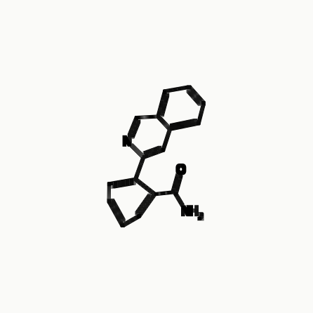 NC(=O)c1ccccc1-c1cc2ccccc2cn1